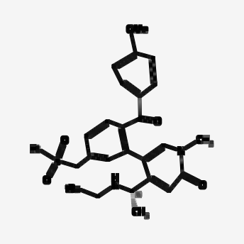 CCS(=O)(=O)Cc1ccc(C(=O)c2ccc(OC)cc2)c(-c2cn(C)c(=O)cc2[C@H](C)NCC(C)(C)C)c1